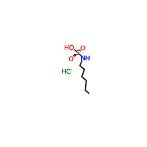 CCCCCCNS(=O)(=O)O.Cl